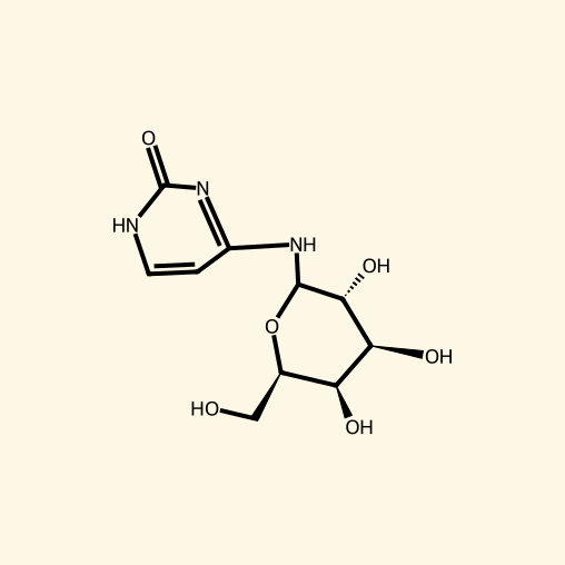 O=c1nc(NC2O[C@H](CO)[C@H](O)[C@H](O)[C@H]2O)cc[nH]1